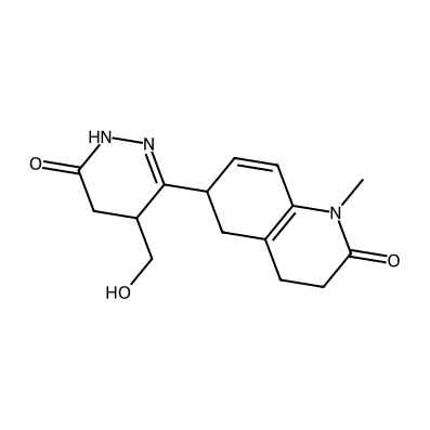 CN1C(=O)CCC2=C1C=CC(C1=NNC(=O)CC1CO)C2